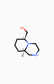 OC[C@@H]1CCC[C@@H]2CNCCN12